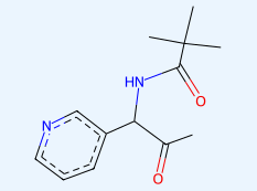 CC(=O)C(NC(=O)C(C)(C)C)c1cccnc1